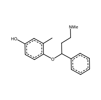 CNCCC(Oc1ccc(O)cc1C)c1ccccc1